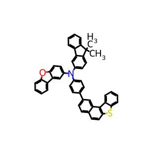 CC1(C)c2ccccc2-c2cc(N(c3ccc(-c4ccc5ccc6sc7ccccc7c6c5c4)cc3)c3ccc4oc5ccccc5c4c3)ccc21